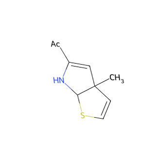 CC(=O)C1=CC2(C)C=CSC2N1